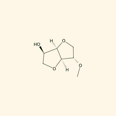 CO[C@H]1CO[C@H]2[C@@H]1OC[C@H]2O